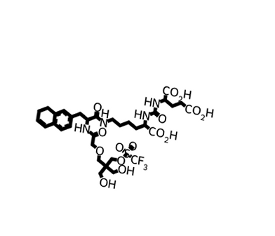 O=C(O)CCC(NC(=O)NC(CCCCNC(=O)C(Cc1ccc2c(c1)CCC=C2)NC(=O)COCC(CO)(CO)COS(=O)(=O)C(F)(F)F)C(=O)O)C(=O)O